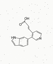 O=C(O)C=Cc1ccncc1-c1ccc2cc[nH]c2c1